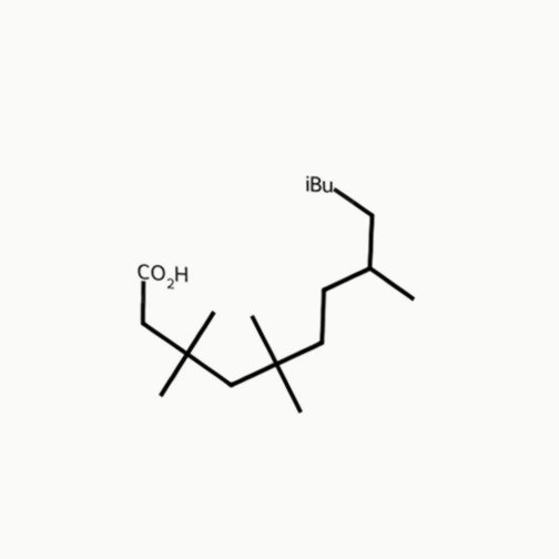 CCC(C)CC(C)CCC(C)(C)CC(C)(C)CC(=O)O